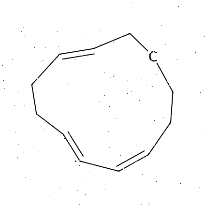 [C]1=C/CC/C=C/CCCC\C=C/1